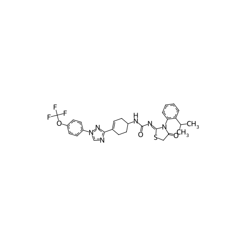 CC(C)c1ccccc1N1C(=O)CSC1=NC(=O)NC1CC=C(c2ncn(-c3ccc(OC(F)(F)F)cc3)n2)CC1